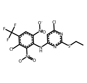 CCSc1nc(Cl)cc(Nc2c([N+](=O)[O-])cc(C(F)(F)F)c(Cl)c2[N+](=O)[O-])n1